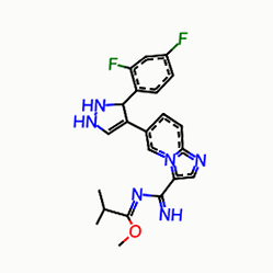 CO/C(=N\C(=N)c1cnc2ccc(C3=CNNC3c3ccc(F)cc3F)cn12)C(C)C